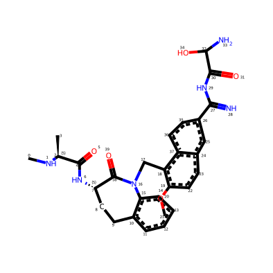 CN[C@@H](C)C(=O)N[C@H]1CCc2ccccc2N(Cc2c(OC)ccc3cc(C(=N)NC(=O)C(N)O)ccc23)C1=O